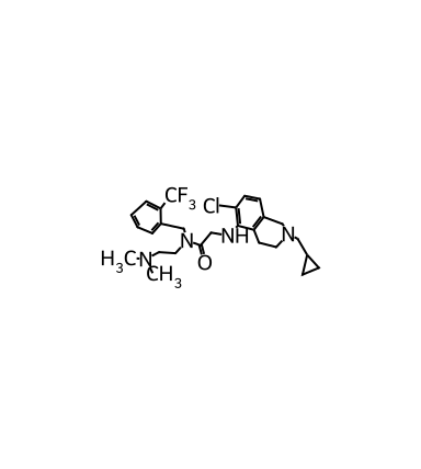 CN(C)CCN(Cc1ccccc1C(F)(F)F)C(=O)CNc1c(Cl)ccc2c1CCN(CC1CC1)C2